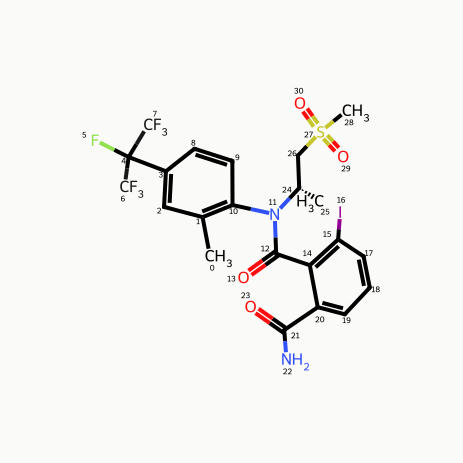 Cc1cc(C(F)(C(F)(F)F)C(F)(F)F)ccc1N(C(=O)c1c(I)cccc1C(N)=O)[C@@H](C)CS(C)(=O)=O